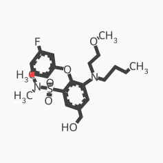 CCCCN(CCOC)c1cc(CO)cc(S(=O)(=O)N(C)C)c1Oc1cccc(F)c1